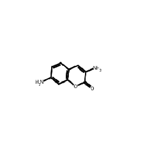 Nc1ccc2cc(N)c(=O)oc2c1